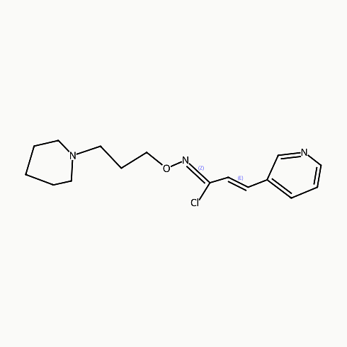 ClC(/C=C/c1cccnc1)=N\OCCCN1CCCCC1